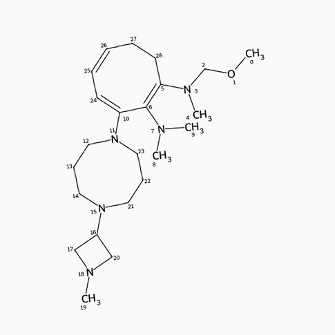 COCN(C)/C1=C(N(C)C)/C(N2CCCN(C3CN(C)C3)CCC2)=C\C=CCC1